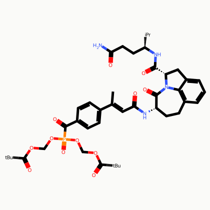 C/C(=C\C(=O)N[C@H]1CCc2cccc3c2N(C1=O)[C@H](C(=O)N[C@@H](CCC(N)=O)C(C)C)C3)c1ccc(C(=O)P(=O)(OCOC(=O)C(C)(C)C)OCOC(=O)C(C)(C)C)cc1